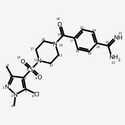 Cc1nn(C)c(Cl)c1S(=O)(=O)N1CCN(C(=O)c2ccc(C(=N)N)cc2)CC1